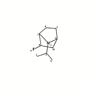 CC(C)N1C2CCC1C(F)C2